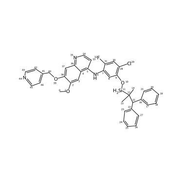 COc1cc2c(Nc3cc(O[SiH2]C(C)(C)C(c4ccccc4)c4ccccc4)c(Cl)cc3F)ccnc2cc1OCc1ccncc1